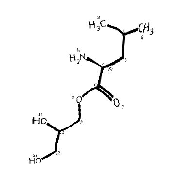 CC(C)C[C@H](N)C(=O)OCC(O)CO